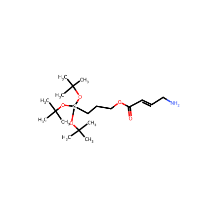 CC(C)(C)O[Si](CCCOC(=O)C=CCN)(OC(C)(C)C)OC(C)(C)C